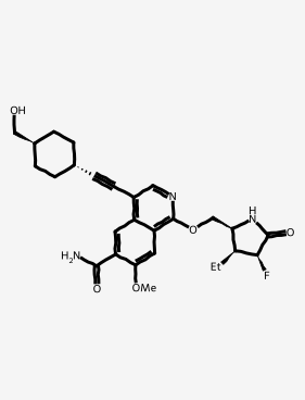 CC[C@@H]1[C@H](F)C(=O)N[C@@H]1COc1ncc(C#C[C@H]2CC[C@H](CO)CC2)c2cc(C(N)=O)c(OC)cc12